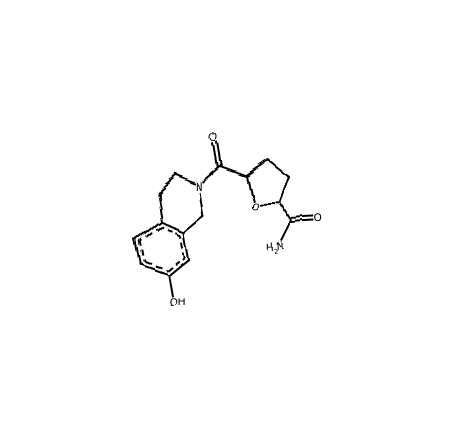 NC(=O)C1CCC(C(=O)N2CCc3ccc(O)cc3C2)O1